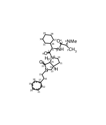 CN[C@@H](C)C(=O)N[C@@H](C(=O)N1CC[C@H]2CN(CCc3ccccc3)C(=O)[C@H]21)C1CCCCC1